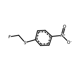 O=[N+]([O-])c1ccc(SCF)cc1